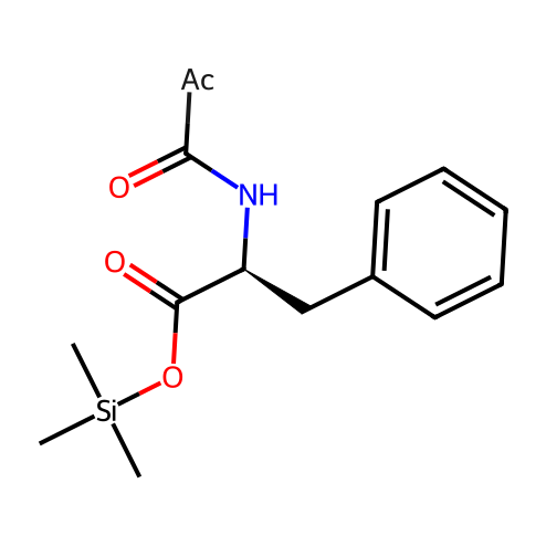 CC(=O)C(=O)N[C@@H](Cc1ccccc1)C(=O)O[Si](C)(C)C